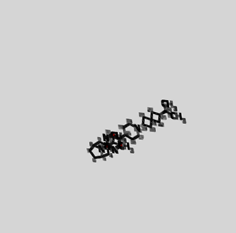 CC(C)N1CC2CCC(C1)N2c1ncc(C2CCN([C@H]3CC4(C[C@H](C(C)C)C4)C3)CC2)cn1